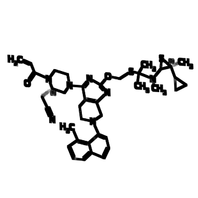 C=CC(=O)N1CCN(c2nc(OCSC(C)(C)N(C)C3S[C@@]3(C)C3CC3)nc3c2CCN(c2cccc4cccc(C)c24)C3)C[C@@H]1CC#N